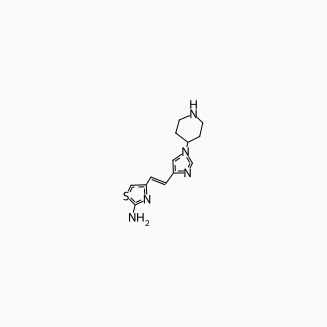 Nc1nc(C=Cc2cn(C3CCNCC3)cn2)cs1